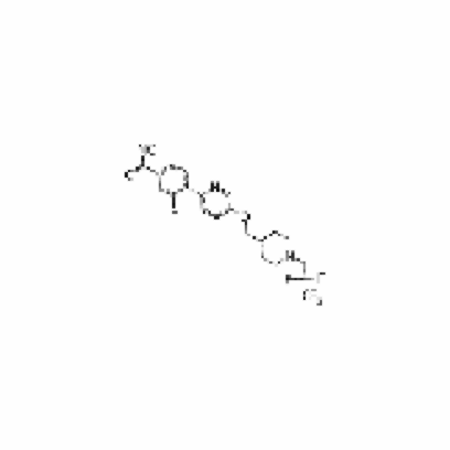 O=NC(=O)c1ccc(-c2ccc(OCC3CCN(CC(F)(F)C(F)(F)F)CC3)cn2)c(F)c1